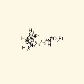 [CH2]COC(=O)NCCCCCCN(C)C(=O)OC(C)(C)[C](C)C